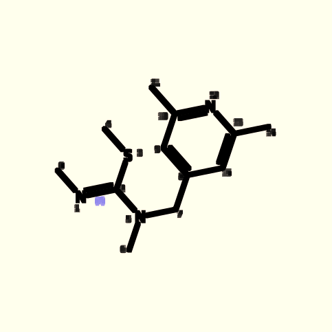 C/N=C(\SC)N(C)Cc1cc(C)nc(C)c1